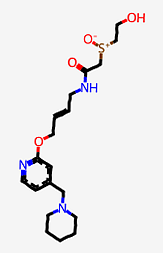 O=C(C[S+]([O-])CCO)NCC=CCOc1cc(CN2CCCCC2)ccn1